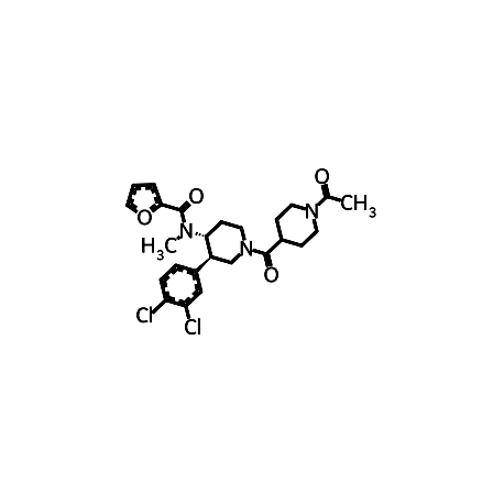 CC(=O)N1CCC(C(=O)N2CC[C@@H](N(C)C(=O)c3ccco3)[C@H](c3ccc(Cl)c(Cl)c3)C2)CC1